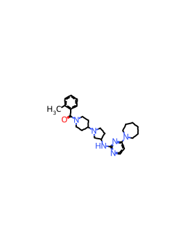 Cc1ccccc1C(=O)N1CCC(N2CCC(Nc3nccc(N4CCCCCC4)n3)C2)CC1